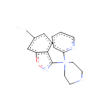 COc1ccc2c([N+]3(c4ccccn4)CCNCC3)noc2c1